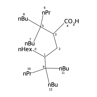 CCCCCCC(CC(C(=O)O)C(CCC)(CCCC)CCCC)C(CCC)(CCCC)CCCC